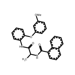 COc1cccc(Oc2ccccc2NC(=O)C(C)NC(=O)c2cccc3ccccc23)c1